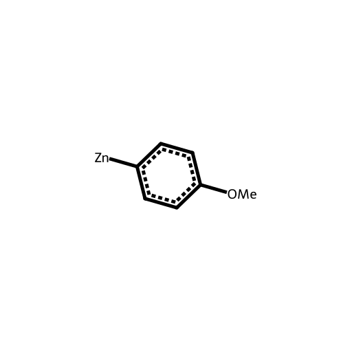 COc1cc[c]([Zn])cc1